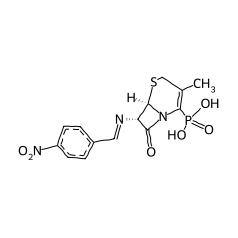 CC1=C(P(=O)(O)O)N2C(=O)[C@H](/N=C/c3ccc([N+](=O)[O-])cc3)[C@H]2SC1